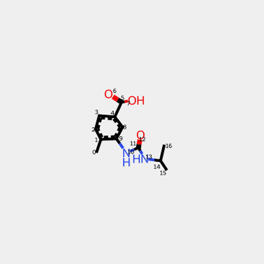 Cc1ccc(C(=O)O)cc1NC(=O)NC(C)C